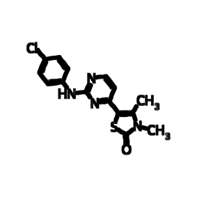 Cc1c(-c2ccnc(Nc3ccc(Cl)cc3)n2)sc(=O)n1C